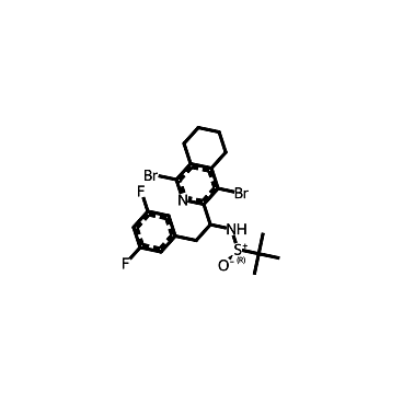 CC(C)(C)[S@+]([O-])NC(Cc1cc(F)cc(F)c1)c1nc(Br)c2c(c1Br)CCCC2